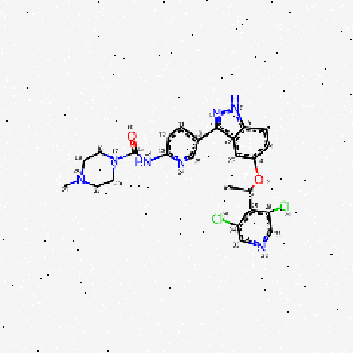 C[C@@H](Oc1ccc2[nH]nc(-c3ccc(NC(=O)N4CCN(C)CC4)nc3)c2c1)c1c(Cl)cncc1Cl